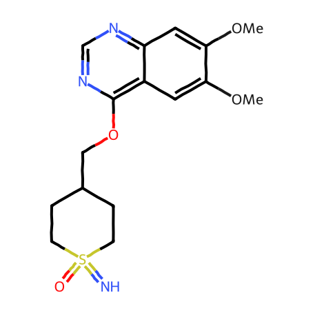 COc1cc2ncnc(OCC3CCS(=N)(=O)CC3)c2cc1OC